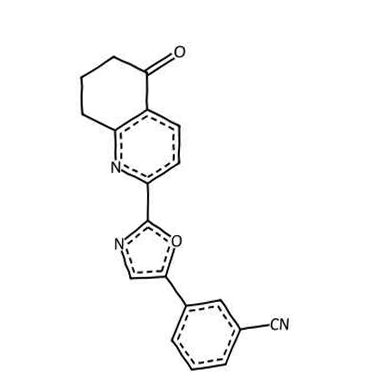 N#Cc1cccc(-c2cnc(-c3ccc4c(n3)CCCC4=O)o2)c1